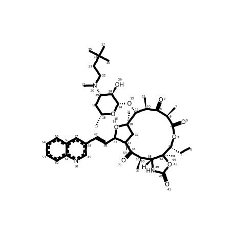 CC[C@H]1OC(=O)[C@H](C)C(=O)[C@H](C)[C@@H](O[C@@H]2O[C@H](C)C[C@H](N(C)CCC(C)(C)C)[C@H]2O)[C@@]2(C)C[C@H](C(=O)[C@H](C)[C@H]3NC(=O)O[C@@]31C)C(/C=C/c1cnc3ccccc3c1)O2